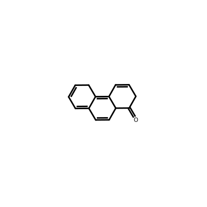 O=C1CC=CC2=C3CC=CC=C3C=CC12